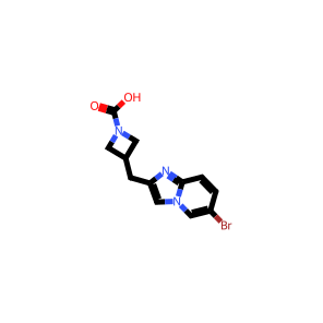 O=C(O)N1CC(Cc2cn3cc(Br)ccc3n2)C1